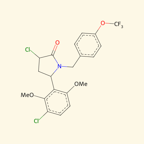 COc1ccc(Cl)c(OC)c1C1CC(Cl)C(=O)N1Cc1ccc(OC(F)(F)F)cc1